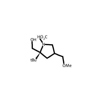 COCC1CN(C(=O)O)[C@](CO)(C(C)(C)C)C1